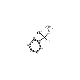 [SiH3]OC(Cl)(Cl)c1ccccc1